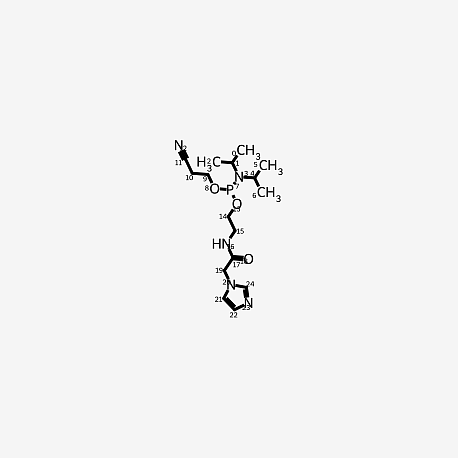 CC(C)N(C(C)C)P(OCCC#N)OCCNC(=O)Cn1ccnc1